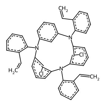 C=Cc1ccccc1N1c2cccc(c2)N(c2ccccc2C=C)c2cccc(c2Cl)N(c2ccccc2C=C)c2cccc1c2Cl